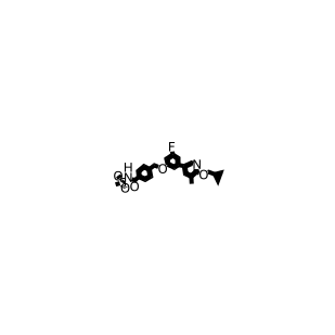 Cc1cc(-c2cc(F)cc(OCc3ccc(C(=O)NS(C)(=O)=O)cc3)c2)cnc1OCC1CC1